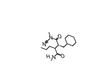 CCCC(C(N)=O)[C@H](CC1CCCCC1)C(=O)N(C)C#N